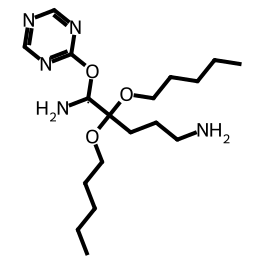 CCCCCOC(CCCN)(OCCCCC)[C](N)Oc1ncncn1